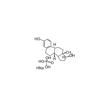 C[C@]12CC[C@@H]3c4ccc(O)cc4CC[C@H]3[C@@H]1CC[C@@H]2O.O=P(O)(O)O.[NaH]